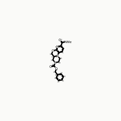 CNC(=O)c1ccc2c(n1)OCC1CN(C(=O)OCc3ccccc3)CCN21